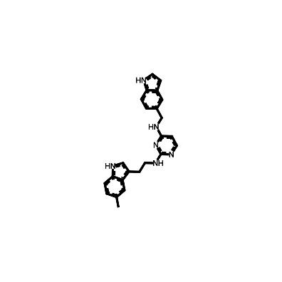 Cc1ccc2[nH]cc(CCNc3nccc(NCc4ccc5[nH]ccc5c4)n3)c2c1